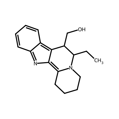 CCC1C(CO)C2=c3ccccc3=NC2=C2CCCCN21